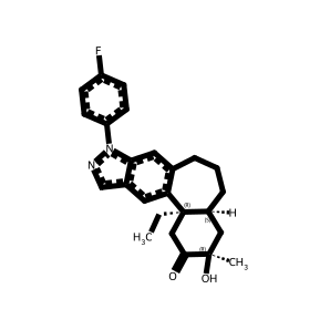 CC[C@@]12CC(=O)[C@](C)(O)C[C@@H]1CCCc1cc3c(cnn3-c3ccc(F)cc3)cc12